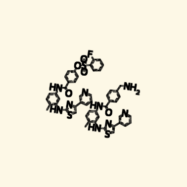 Cc1ccc(NC(=O)c2ccc(CN)cc2)cc1Nc1nc(-c2cccnc2)cs1.Cc1ccc(NC(=O)c2ccc(OS(=O)(=O)c3ccccc3F)cc2)cc1Nc1nc(-c2cccnc2)cs1